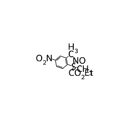 CCOC(=O)S(C)(N=O)c1ccc([N+](=O)[O-])cc1C